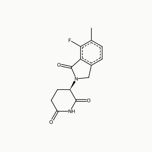 Cc1ccc2c(c1F)C(=O)N([C@@H]1CCC(=O)NC1=O)C2